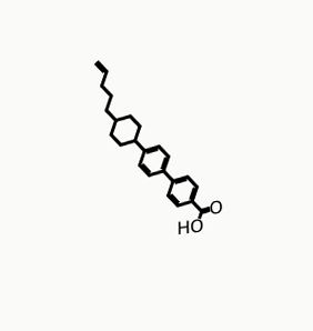 C=CCCCC1CCC(c2ccc(-c3ccc(C(=O)O)cc3)cc2)CC1